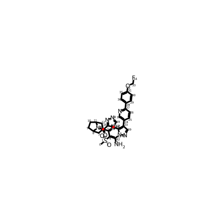 CS(=O)(=O)c1c(C2CC3CCC(C2)N3C(=O)c2nnc[nH]2)nc2c(-c3ccc(-c4ccc(OCF)cc4)nc3)cnn2c1N